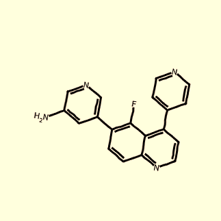 Nc1cncc(-c2ccc3nccc(-c4ccncc4)c3c2F)c1